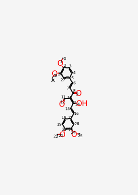 COc1ccc(/C=C/C(=O)/C(C=O)=C(O)/C=C/c2ccc(OC)c(OC)c2)cc1OC